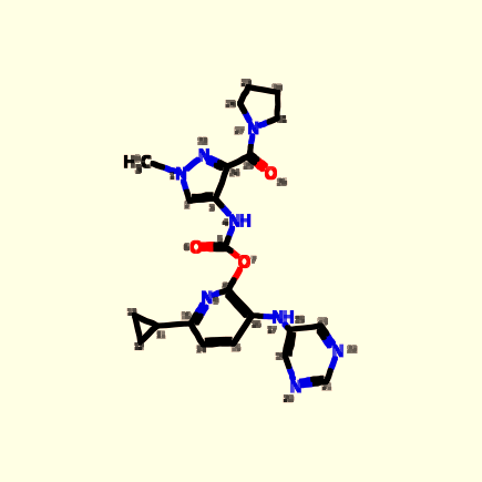 Cn1cc(NC(=O)Oc2nc(C3CC3)ccc2Nc2cncnc2)c(C(=O)N2CCCC2)n1